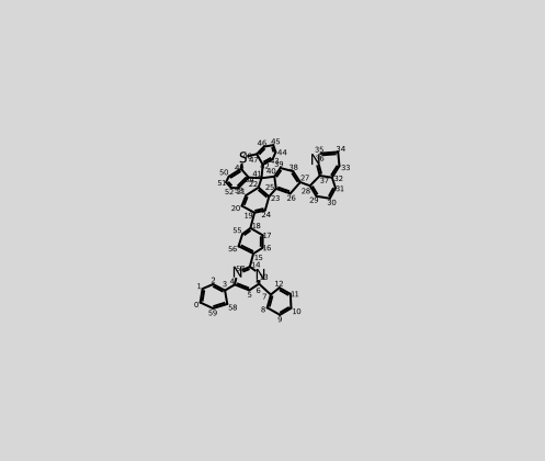 c1ccc(-c2cc(-c3ccccc3)nc(-c3ccc(-c4ccc5c(c4)-c4cc(-c6cccc7cccnc67)ccc4C54c5ccccc5Sc5ccccc54)cc3)n2)cc1